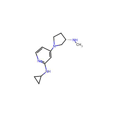 CN[C@H]1CCN(c2ccnc(NC3CC3)c2)C1